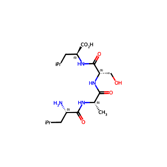 CC(C)C[C@H](NC(=O)[C@H](CO)NC(=O)[C@H](C)NC(=O)[C@@H](N)CC(C)C)C(=O)O